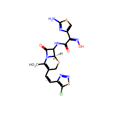 Nc1nc(/C(=N/O)C(=O)NC2C(=O)N3C(C(=O)O)=C(/C=C\c4nnsc4Cl)CS[C@H]23)cs1